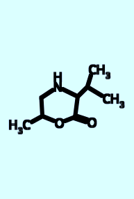 CC1CNC(C(C)C)C(=O)O1